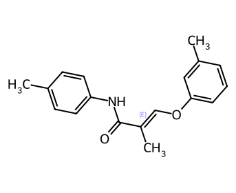 C/C(=C\Oc1cccc(C)c1)C(=O)Nc1ccc(C)cc1